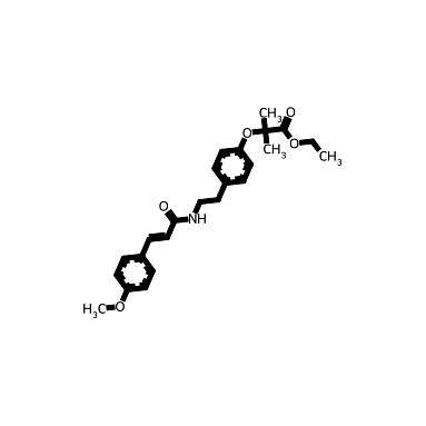 CCOC(=O)C(C)(C)Oc1ccc(CCNC(=O)C=Cc2ccc(OC)cc2)cc1